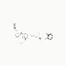 CC(C)(C)OC(=O)N[C@@H](CCCCNC(=O)OCc1ccccc1Cl)CNC(=O)N1CCC[C@H]1CN=[N+]=[N-]